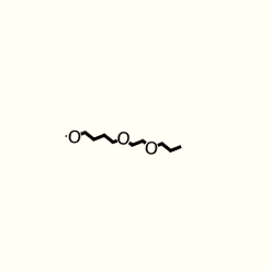 CCCOCCOCCCC[O]